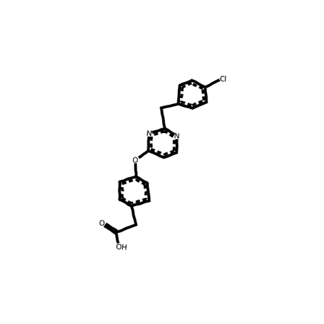 O=C(O)Cc1ccc(Oc2ccnc(Cc3ccc(Cl)cc3)n2)cc1